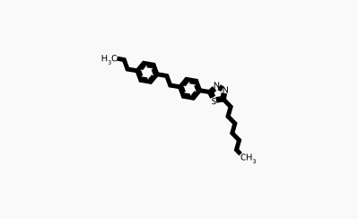 CCCCCCCc1nnc(-c2ccc(CCc3ccc(CCC)cc3)cc2)s1